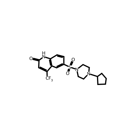 O=c1cc(C(F)(F)F)c2cc(S(=O)(=O)N3CCN(C4CCCC4)CC3)ccc2[nH]1